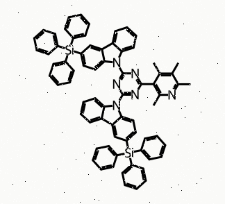 Cc1nc(C)c(-c2nc(-n3c4ccccc4c4cc([Si](c5ccccc5)(c5ccccc5)c5ccccc5)ccc43)nc(-n3c4ccccc4c4cc([Si](c5ccccc5)(c5ccccc5)c5ccccc5)ccc43)n2)c(C)c1C